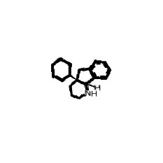 c1ccc2c(c1)C[C@@]1(C3CCCCC3)CCCN[C@@H]21